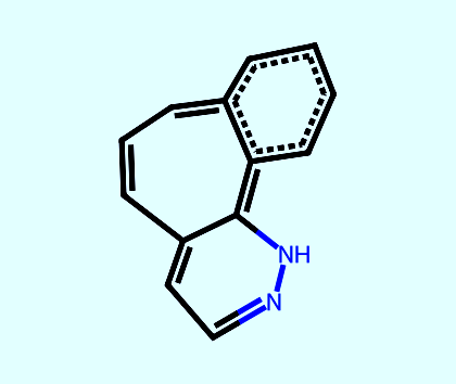 C1=CC2=CC=NNC2=c2ccccc2=C1